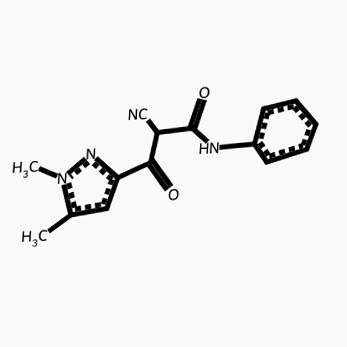 Cc1cc(C(=O)C(C#N)C(=O)Nc2ccccc2)nn1C